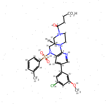 O=C(O)CCC(=O)N1CCN2c3ncc(-c4cc(Cl)cc(OC(F)(F)F)c4)cc3N(S(=O)(=O)c3cccc(C(F)(F)F)c3)C[C@@H]2C1